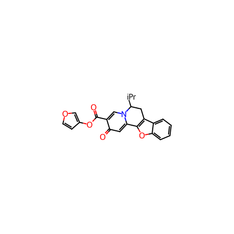 CC(C)C1Cc2c(oc3ccccc23)-c2cc(=O)c(C(=O)Oc3ccoc3)cn21